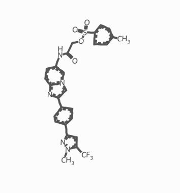 Cc1ccc(S(=O)(=O)OCC(=O)Nc2ccc3nc(-c4ccc(-c5cc(C(F)(F)F)n(C)n5)cc4)cn3c2)cc1